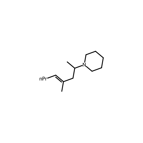 CCCC=C(C)CC(C)N1CCCCC1